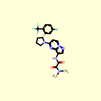 CN(C)C(=O)C(=O)Nc1cnn2ccc(N3CCC[C@@H]3c3cc(F)ccc3C(F)(F)F)nc12